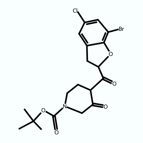 CC(C)(C)OC(=O)N1CCC(C(=O)C2Cc3cc(Cl)cc(Br)c3O2)C(=O)C1